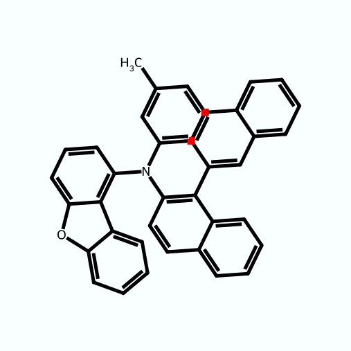 Cc1cccc(N(c2ccc3ccccc3c2-c2ccc3ccccc3c2)c2cccc3oc4ccccc4c23)c1